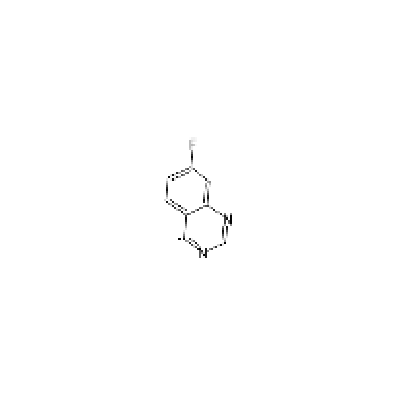 Fc1ccc2[c]ncnc2c1